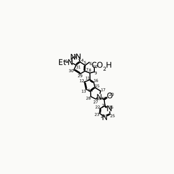 CCn1nnc2c(C)c(C(CC(=O)O)c3ccc4c(c3)CN(C(=O)c3ccncn3)CC4)ccc21